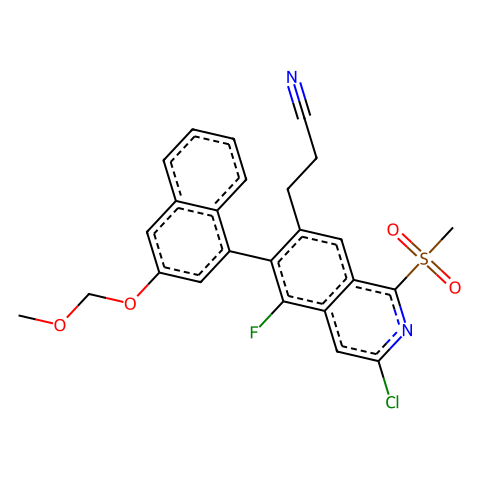 COCOc1cc(-c2c(CCC#N)cc3c(S(C)(=O)=O)nc(Cl)cc3c2F)c2ccccc2c1